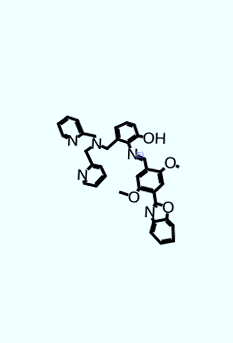 COc1cc(-c2nc3ccccc3o2)c(OC)cc1/C=N/c1c(O)cccc1CN(Cc1ccccn1)Cc1ccccn1